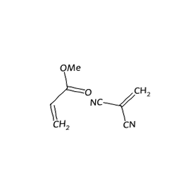 C=C(C#N)C#N.C=CC(=O)OC